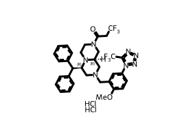 COc1ccc(-n2nnnc2C(F)(F)F)cc1CN1C[C@@H]2CN(C(=O)CC(F)(F)F)CCN2[C@H](C(c2ccccc2)c2ccccc2)C1.Cl.Cl